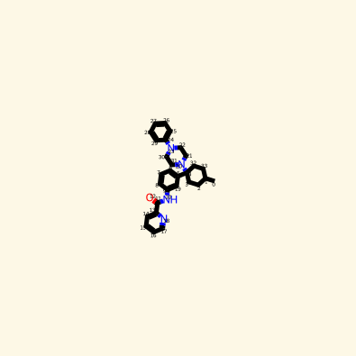 CC1CCC(c2cccc(NC(=O)c3ccccn3)c2)(N2CCN(c3ccccc3)CC2)CC1